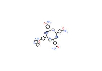 NC(=O)c1ccc(-c2c3nc(c(-c4ccc(C(N)=O)cc4)c4ccc([nH]4)c(-c4ccc(C(N)=O)cc4)c4nc(c(-c5ccc(C(N)=O)cc5)c5ccc2[nH]5)C=C4)C=C3)cc1.c1ccc2ncccc2c1